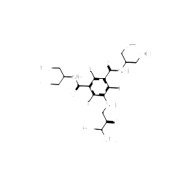 CC(O)C(=O)CNc1c(I)c(C(=O)NC(CO)CO)c(I)c(C(=O)NC(CO)CO)c1I